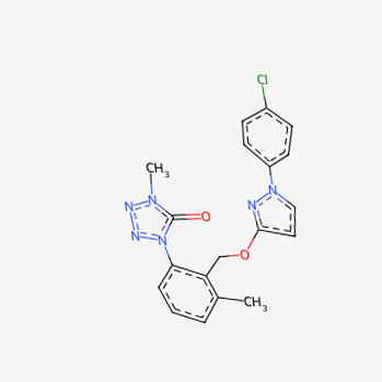 Cc1cccc(-n2nnn(C)c2=O)c1COc1ccn(-c2ccc(Cl)cc2)n1